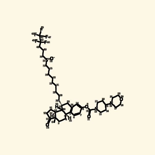 C[C@]12CC[C@@H]3c4ccc(OC(=O)N5CCC(N6CCOCC6)CC5)cc4C[C@@H](CCCCCCCCC[S+]([O-])CCCC(F)(F)C(F)(F)F)[C@H]3[C@@H]1CCC2=O